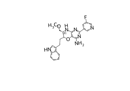 COC[C@H]1Nc2nc(-c3cncc(F)c3)nc(N)c2OC1CCc1c[nH]c2ccccc12